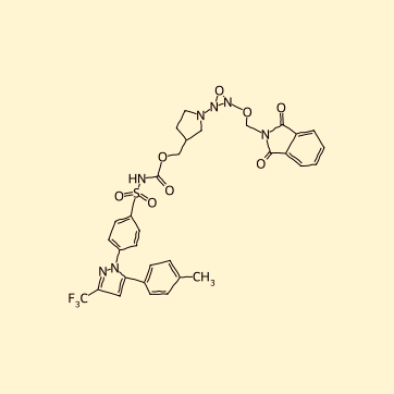 Cc1ccc(-c2cc(C(F)(F)F)nn2-c2ccc(S(=O)(=O)NC(=O)OCC3CCN(n4on4OCN4C(=O)c5ccccc5C4=O)C3)cc2)cc1